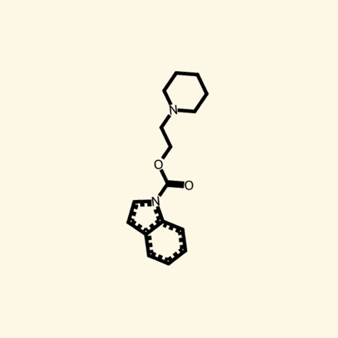 O=C(OCCN1CCCCC1)n1ccc2ccccc21